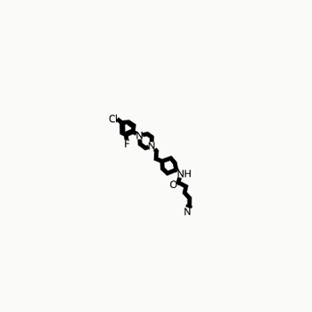 N#CCCCC(=O)NC1CCC(CCN2CCN(c3ccc(Cl)cc3F)CC2)CC1